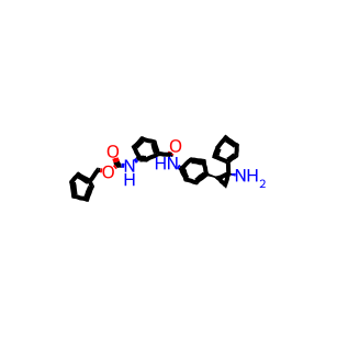 N[C@@]1(c2ccccc2)C[C@H]1c1ccc(NC(=O)c2cccc(NC(=O)OCc3ccccc3)c2)cc1